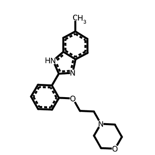 Cc1ccc2nc(-c3ccccc3OCCN3CCOCC3)[nH]c2c1